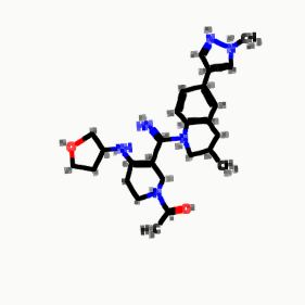 CC(=O)N1CCC(NC2CCOC2)=C(C(=N)N2CC(C)Cc3cc(-c4cnn(C)c4)ccc32)C1